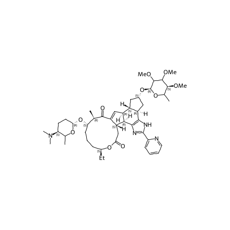 CC[C@H]1CCC[C@H](O[C@H]2CC[C@H](N(C)C)C(C)O2)[C@@H](C)C(=O)C2=C[C@H]3[C@@H]4C[C@H](O[C@@H]5OC(C)[C@H](OC)C(OC)C5OC)C[C@H]4c4[nH]c(-c5ccccn5)nc4[C@H]3[C@@H]2CC(=O)O1